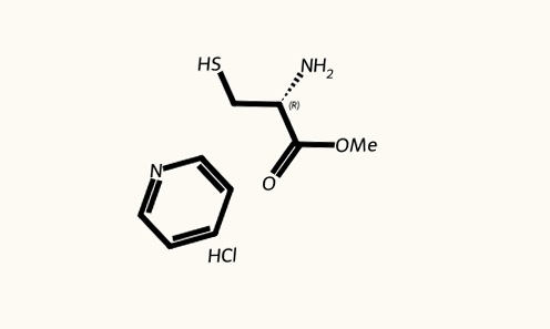 COC(=O)[C@@H](N)CS.Cl.c1ccncc1